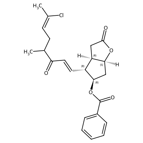 CC(Cl)=CCC(C)C(=O)C=C[C@@H]1[C@H]2CC(=O)O[C@H]2C[C@H]1OC(=O)c1ccccc1